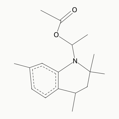 CC(=O)OC(C)N1c2cc(C)ccc2C(C)CC1(C)C